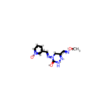 CON=CC1=NNC(=O)N(N=Cc2ccc[n+]([O-])c2)C1